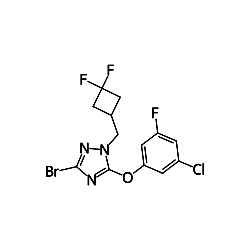 Fc1cc(Cl)cc(Oc2nc(Br)nn2CC2CC(F)(F)C2)c1